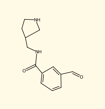 O=Cc1cccc(C(=O)NCC2CCNC2)c1